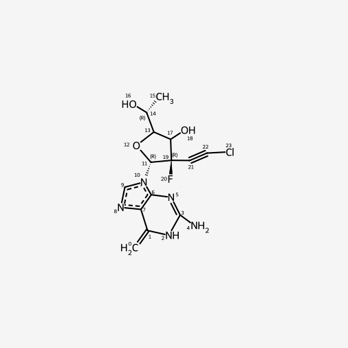 C=C1NC(N)=Nc2c1ncn2[C@@H]1OC([C@@H](C)O)C(O)[C@]1(F)C#CCl